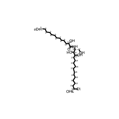 CCCCCCCCCCCCCCCCCCCC[C@@H](O)C(=O)N[C@H](CO)[C@H](O)C(O)CCCCCCCCCCCC(C=O)CC